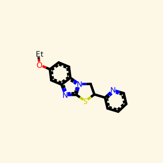 CCOc1ccc2c(c1)nc1n2CC(c2ccccn2)S1